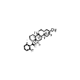 C[C@]12CC[C@H](O)CC1CC[C@@H]1[C@@H]2CC[C@@]2(C)[C@H]1CCCN2C(=O)c1c(F)cccc1F